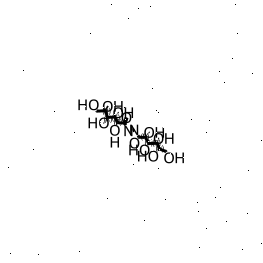 O=C(N=NC(=O)[C@H](O)[C@@H](O)[C@H](O)[C@H](O)CO)[C@H](O)[C@@H](O)[C@H](O)[C@H](O)CO